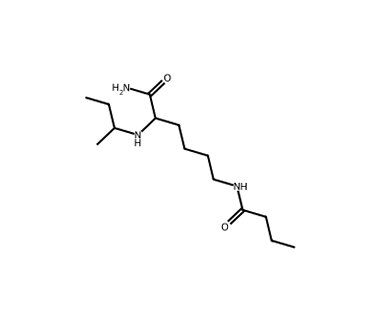 CCCC(=O)NCCCCC(NC(C)CC)C(N)=O